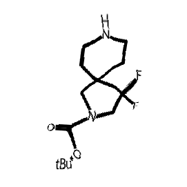 CC(C)(C)OC(=O)N1CC(F)(F)C2(CCNCC2)C1